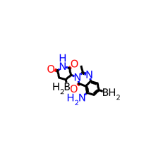 Bc1cc(N)c2c(=O)n(C3C(=O)NC(=O)CC3B)c(C)nc2c1